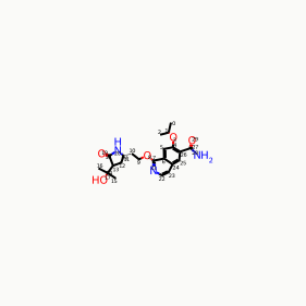 CC(C)Oc1cc2c(OCC[C@@H]3CC(C(C)(C)O)C(=O)N3)nccc2cc1C(N)=O